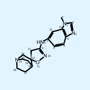 Cn1cnc2ccc(NC3=NO[C@@]4(C3)CN3CCC4CC3)cc21